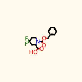 O=C(O)C1CC(F)(F)CCN1C(=O)OCc1ccccc1